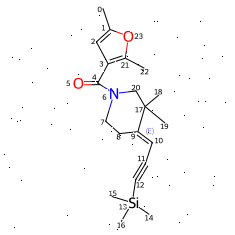 Cc1cc(C(=O)N2CC/C(=C\C#C[Si](C)(C)C)C(C)(C)C2)c(C)o1